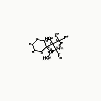 OOC1(C(O)(C(F)(F)F)C(F)(F)F)CCCCC1